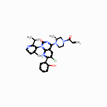 C=CC(=O)N1CCN(c2nc(=O)n(-c3c(C)ccnc3C(C)C(F)(F)F)c3nc(-c4ccccc4O)c(Cl)cc23)[C@@H](C)C1